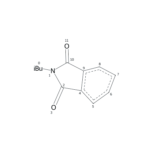 [CH2]C(CC)N1C(=O)c2ccccc2C1=O